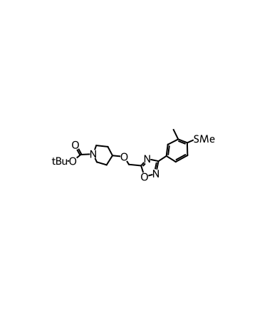 CSc1ccc(-c2noc(COC3CCN(C(=O)OC(C)(C)C)CC3)n2)cc1C